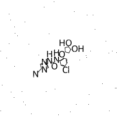 N#Cc1cnc(NC(=O)Nc2cc(Cl)ccc2OC2C[C@@H](O)[C@@H](O)C2)cn1